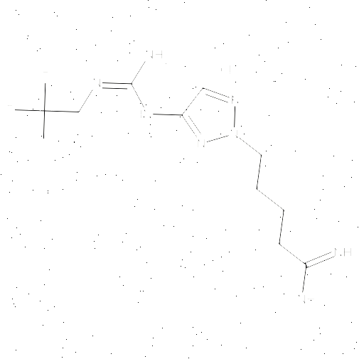 Cl.N=C(N)CCCCn1ncc(N/C(N)=N\CC(F)(F)F)n1